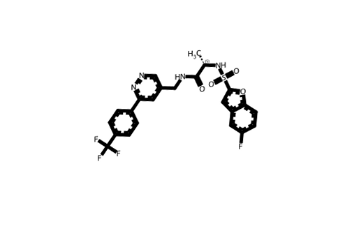 C[C@H](NS(=O)(=O)c1cc2cc(F)ccc2o1)C(=O)NCc1cnnc(-c2ccc(C(F)(F)F)cc2)c1